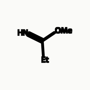 [CH2]CC(=N)OC